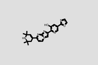 CC1(C)C=C(c2ccn3cc(-c4ncc(-c5ncco5)cc4O)nc3n2)CC(C)(C)N1